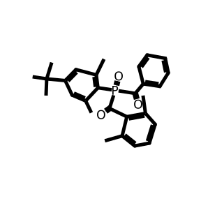 Cc1cccc(C)c1C(=O)P(=O)(C(=O)c1ccccc1)c1c(C)cc(C(C)(C)C)cc1C